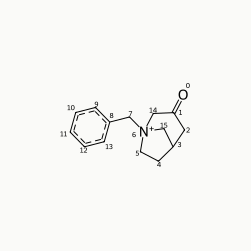 O=C1CC2CC[N+](Cc3ccccc3)(C1)C2